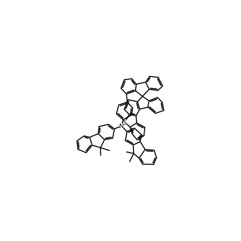 CC1(C)c2ccccc2-c2ccc(N(c3ccc(-c4cccc5c4C4(c6ccccc6-5)c5ccccc5-c5c4ccc4sc6ccccc6c54)cc3)c3ccc4c(c3)C(C)(C)c3ccccc3-4)cc21